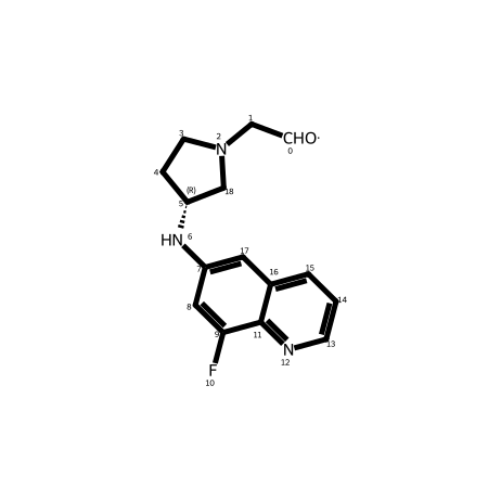 O=[C]CN1CC[C@@H](Nc2cc(F)c3ncccc3c2)C1